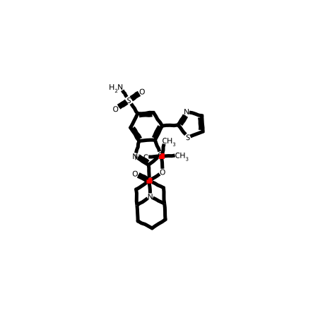 CC(C)(C)OC(=O)N1C2CCCC1CN(c1nc3cc(S(N)(=O)=O)cc(-c4nccs4)c3o1)C2